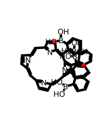 OB(O)c1ccccc1-c1c(-c2ccccc2B(O)O)c2c(-c3ccccc3B(O)O)c3nc(cc4ccc(cc5nc(cc1n2-c1ccccc1B(O)O)C=C5)[nH]4)C=C3